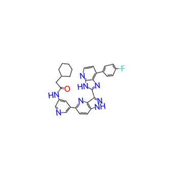 O=C(CC1CCCCC1)Nc1cncc(-c2ccc3[nH]nc(-c4nc5c(-c6ccc(F)cc6)ccnc5[nH]4)c3n2)c1